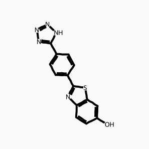 Oc1ccc2nc(-c3ccc(-c4nnn[nH]4)cc3)sc2c1